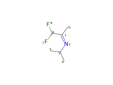 CC(=NC(C)C)[C](F)F